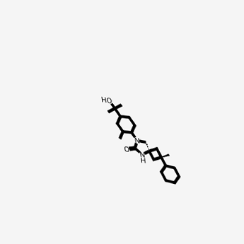 CC1CC(C(C)(C)O)CCC1N1C[C@]2(C[C@@](C)(C3CCCCC3)C2)NC1=O